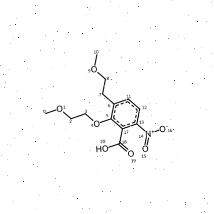 COCCOc1c(CCOC)ccc([N+](=O)[O-])c1C(=O)O